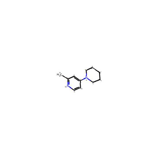 Cc1cc(N2CCCCC2)ccn1